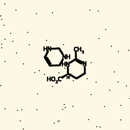 C1=CNCNC1.CC1=NCC[C@@H](C(=O)O)N1